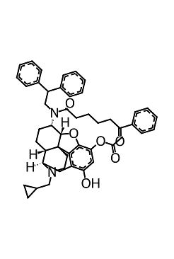 CC(=O)Oc1cc(O)c2c3c1O[C@H]1[C@@H](N(CC(c4ccccc4)c4ccccc4)C(=O)CCCCC(=O)c4ccccc4)CC[C@H]4[C@@H](C2)N(CC2CC2)CC[C@@]341